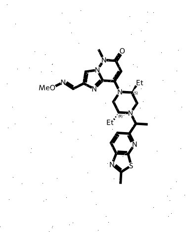 CC[C@H]1CN(C(C)c2ccc3nc(C)sc3n2)[C@H](CC)CN1c1cc(=O)n(C)n2cc(C=NOC)nc12